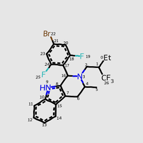 CCC(CN1C(C)Cc2c([nH]c3ccccc23)C1c1c(F)cc(Br)cc1F)C(F)(F)F